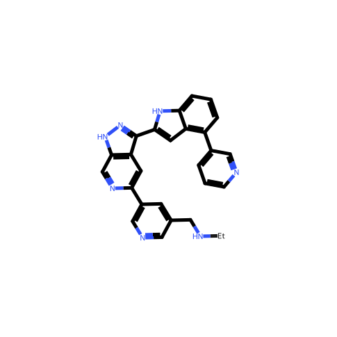 CCNCc1cncc(-c2cc3c(-c4cc5c(-c6cccnc6)cccc5[nH]4)n[nH]c3cn2)c1